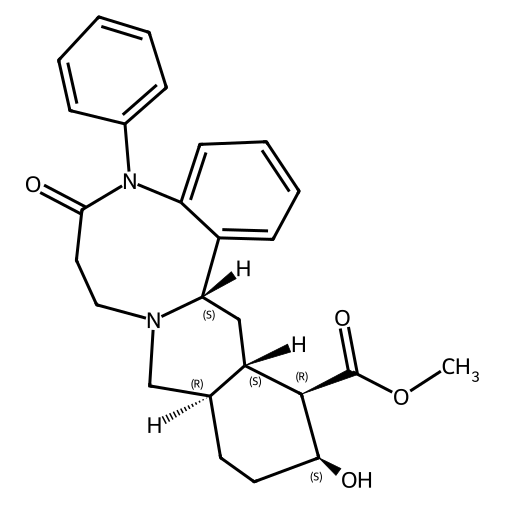 COC(=O)[C@@H]1[C@H]2C[C@H]3c4ccccc4N(c4ccccc4)C(=O)CCN3C[C@@H]2CC[C@@H]1O